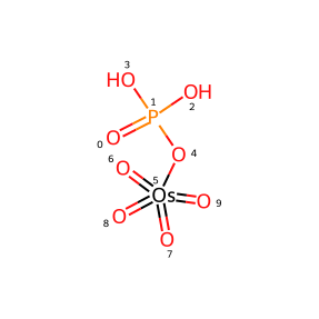 O=P(O)(O)[O][Os](=[O])(=[O])(=[O])=[O]